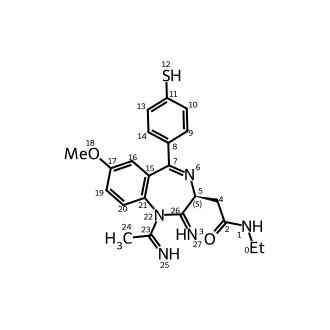 CCNC(=O)C[C@@H]1N=C(c2ccc(S)cc2)c2cc(OC)ccc2N(C(C)=N)C1=N